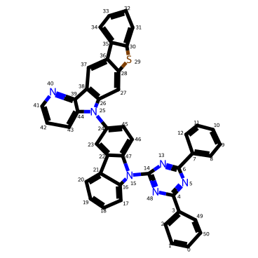 c1ccc(-c2nc(-c3ccccc3)nc(-n3c4ccccc4c4cc(-n5c6cc7sc8ccccc8c7cc6c6ncccc65)ccc43)n2)cc1